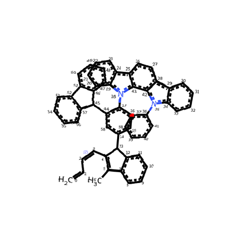 C=C/C=C\C1=C(C)c2ccccc2C1c1ccc(-n2c3ccccc3c3ccc4c5ccccc5n(-c5ccccc5)c4c32)c(C2c3ccccc3-c3ccccc32)c1